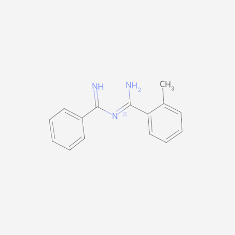 Cc1ccccc1/C(N)=N/C(=N)c1ccccc1